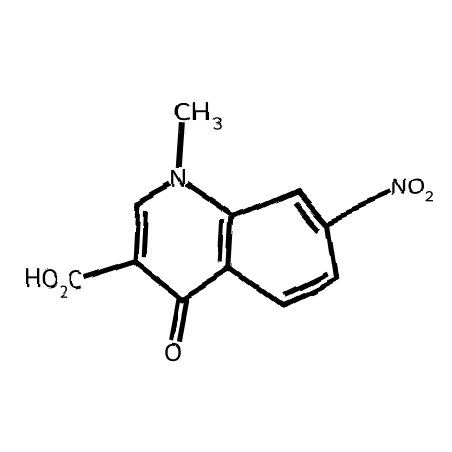 Cn1cc(C(=O)O)c(=O)c2ccc([N+](=O)[O-])cc21